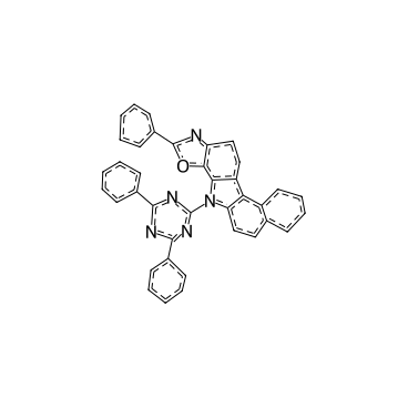 c1ccc(-c2nc(-c3ccccc3)nc(-n3c4ccc5ccccc5c4c4ccc5nc(-c6ccccc6)oc5c43)n2)cc1